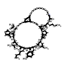 CSCC[C@@H]1NC(=O)/C=N/OCCCCCCOc2cc3cc(c2)CSC[C@H](NC1=O)C(=O)N1CCC[C@H]1C(=O)N[C@@H](CC(C)C)C(=O)N[C@@H](Cc1ccc(O)cc1)C(=O)N[C@@H](CCCCN)C(=O)N[C@@H](C(C)C)C(=O)N[C@@H](Cc1cnc[nH]1)C(=O)N[C@H](C(N)=O)CSC3